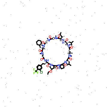 CCO[C@@H]1C[C@H]2C(=O)NC3(CCCC3)C(=O)N(C)[C@@H](CC(C)C)C(=O)N(C)[C@H](C)CC(=O)N(C)[C@@H](CC(C)C)C(=O)N[C@@H]([C@@H](C)CC)C(=O)N(C)CC(=O)N(C)CC(=O)N(C)[C@@H](CC3CCCCC3)C(=O)N(C)CC(=O)N[C@@H](CCc3ccc(C(F)(F)F)c(Cl)c3)C(=O)N2C1